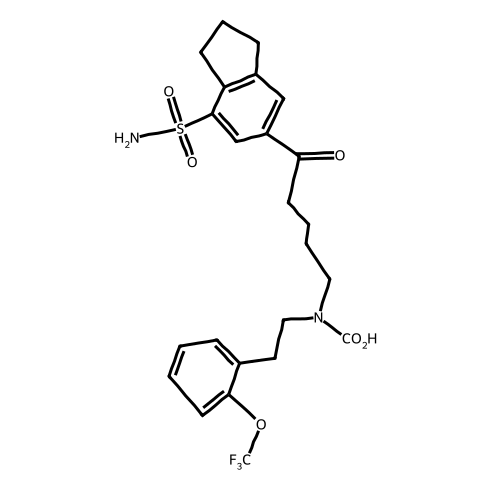 NS(=O)(=O)c1cc(C(=O)CCCCN(CCc2ccccc2OC(F)(F)F)C(=O)O)cc2c1CCC2